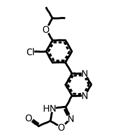 CC(C)Oc1ccc(-c2cc(C3=NOC(C=O)N3)ncn2)cc1Cl